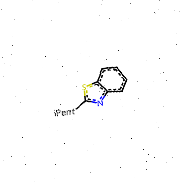 CCCC(C)c1nc2ccccc2s1